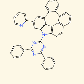 c1ccc(-c2nc(-c3ccccc3)nc(-n3c4cc(-c5ccccn5)cc5c4c4c6c(cccc6ccc43)-c3ccccc3-5)n2)cc1